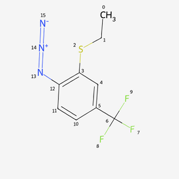 CCSc1cc(C(F)(F)F)ccc1N=[N+]=[N-]